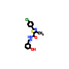 Cc1nc(-c2ccc(Cl)cc2)sc1C(=O)N/N=C/c1cccc(O)c1